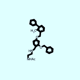 CC(=O)NCCNCc1ccc(OCc2cccc(-c3ccccc3)c2C)cc1OCc1ccccc1